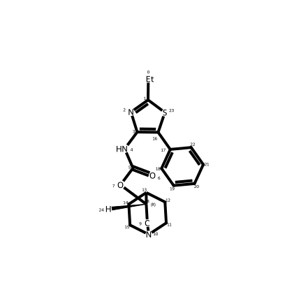 CCc1nc(NC(=O)O[C@H]2CN3CCC2CC3)c(-c2ccccc2)s1